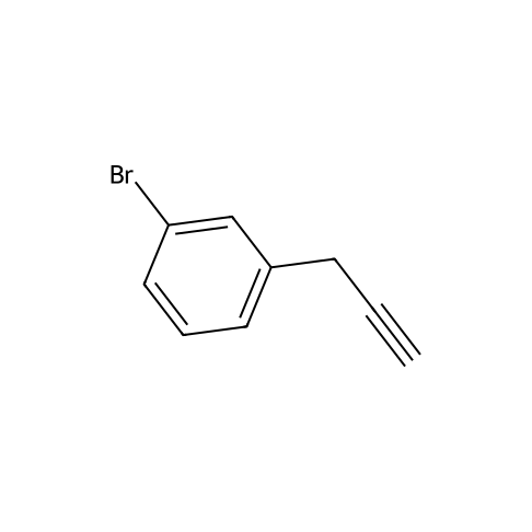 C#CCc1cccc(Br)c1